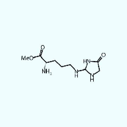 COC(=O)[C@@H](N)CCCNC1NCC(=O)N1